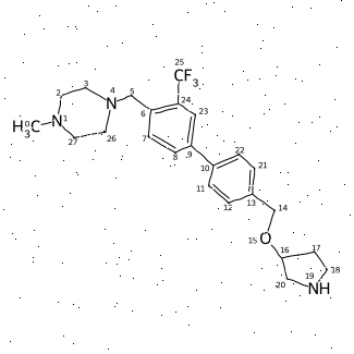 CN1CCN(Cc2ccc(-c3ccc(COC4CCNC4)cc3)cc2C(F)(F)F)CC1